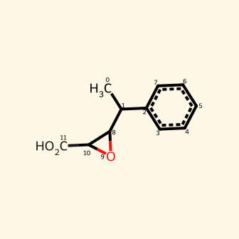 CC(c1ccccc1)C1OC1C(=O)O